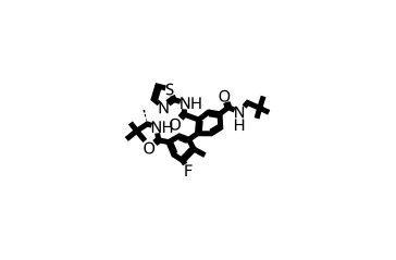 Cc1c(F)cc(C(=O)N[C@@H](C)C(C)(C)C)cc1-c1ccc(C(=O)NCC(C)(C)C)cc1C(=O)Nc1nccs1